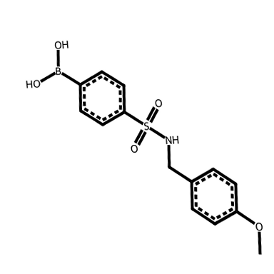 COc1ccc(CNS(=O)(=O)c2ccc(B(O)O)cc2)cc1